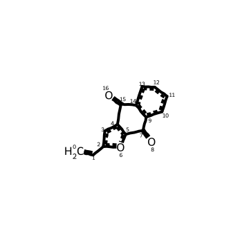 C=Cc1cc2c(o1)C(=O)c1ccccc1C2=O